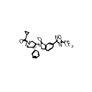 O=C(C1CC1)N1C[C@@H](N2Cc3ccc(-c4noc(C(F)(F)F)n4)cc3C2=O)[C@H](c2ccccc2)C1